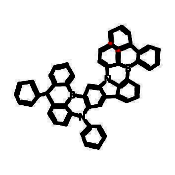 c1ccc(-c2ccccc2B2c3ccccc3-n3c4cc5c(cc4c4cccc2c43)N(c2ccccc2)c2cccc3c2B5c2ccccc2C3c2ccccc2)cc1